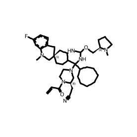 C=CC(=O)N1CCN(C2(C3CCCCCCC3)NC(OC[C@H]3CCCN3C)NC3C[C@]4(CCC32)Cc2ccc(F)cc2N(C)C4)C[C@H]1CC#N